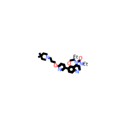 CC[C@H]1COc2c(-c3ccc(OCCCN4CCC(C)(C)CC4)nc3)ccc3ncc4c(c23)n1c(=O)n4CC